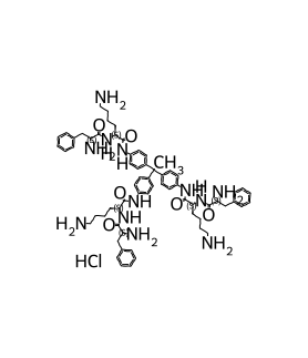 CC(c1ccc(NC(=O)[C@H](CCCCN)NC(=O)[C@@H](N)Cc2ccccc2)cc1)(c1ccc(NC(=O)[C@H](CCCCN)NC(=O)[C@@H](N)Cc2ccccc2)cc1)c1ccc(NC(=O)[C@H](CCCCN)NC(=O)[C@@H](N)Cc2ccccc2)cc1.Cl